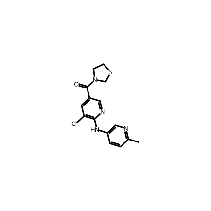 Cc1ccc(Nc2ncc(C(=O)N3CCSC3)cc2Cl)cn1